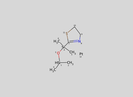 C[SiH](C)O[Si](C)(C)C1=NCCS1.[Pt]